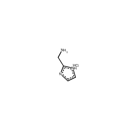 Cl.NCc1ncc[nH]1